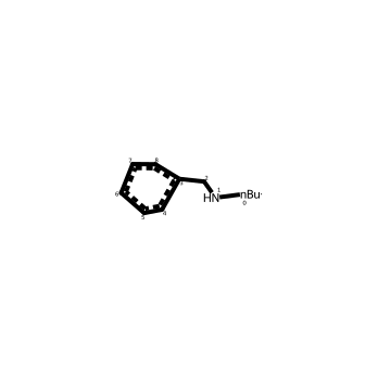 CCC[CH]NCc1ccccc1